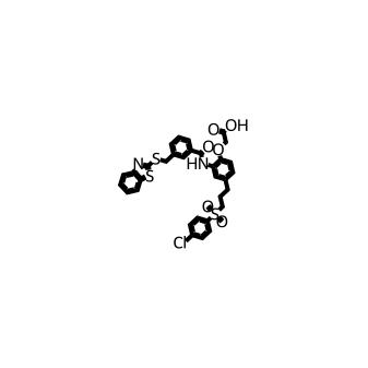 O=C(O)COc1ccc(CCCS(=O)(=O)c2ccc(Cl)cc2)cc1NC(=O)c1cccc(CSc2nc3ccccc3s2)c1